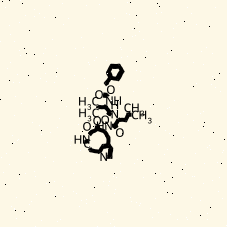 CC(C)CC(NC(=O)C(NC(=O)OCc1ccccc1)C(C)C)C(=O)NC1Cc2ccnc(c2)CCNC(=O)C1=O